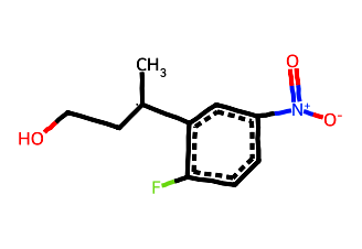 C[C](CCO)c1cc([N+](=O)[O-])ccc1F